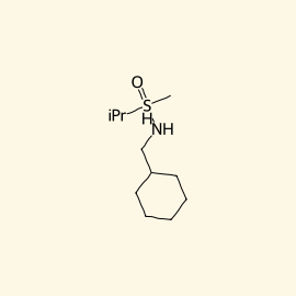 CC(C)[SH](C)(=O)NCC1CCCCC1